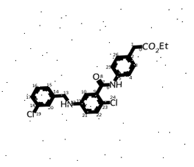 CCOC(=O)Cc1ccc(NC(=O)c2cc(NCc3cccc(Cl)c3)ccc2Cl)cc1